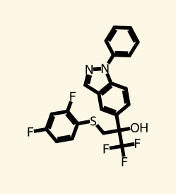 OC(CSc1ccc(F)cc1F)(c1ccc2c(cnn2-c2ccccc2)c1)C(F)(F)F